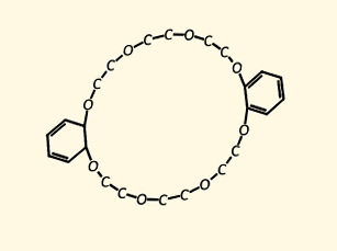 C1=CC2OCCOCCOCCOc3ccccc3OCCOCCOCCOC2C=C1